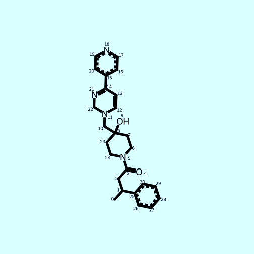 CC(CC(=O)N1CCC(O)(CN2C=CC(c3ccncc3)=NC2)CC1)c1ccccc1